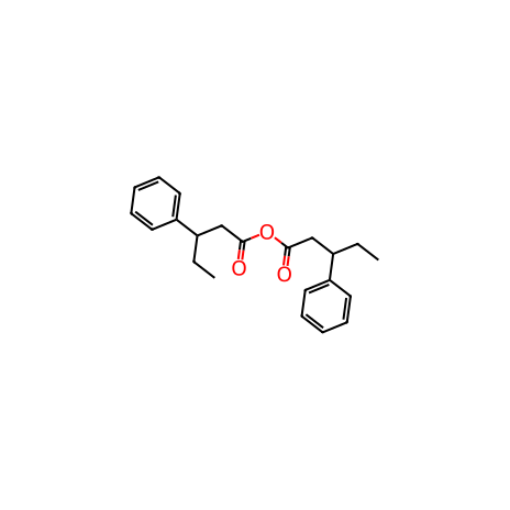 CCC(CC(=O)OC(=O)CC(CC)c1ccccc1)c1ccccc1